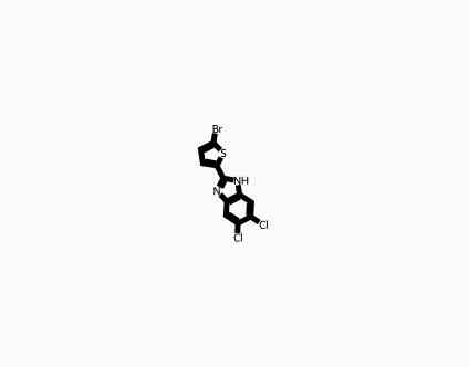 Clc1cc2nc(-c3ccc(Br)s3)[nH]c2cc1Cl